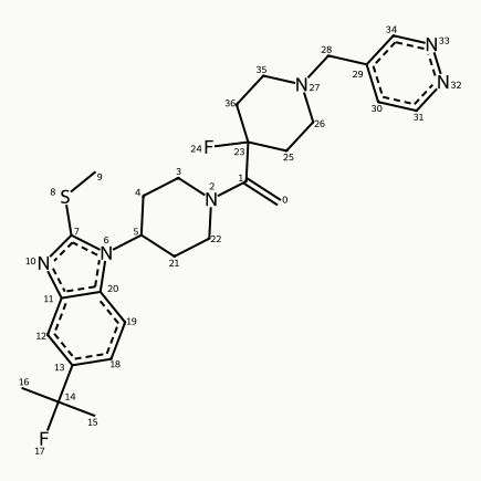 C=C(N1CCC(n2c(SC)nc3cc(C(C)(C)F)ccc32)CC1)C1(F)CCN(Cc2ccnnc2)CC1